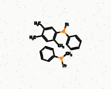 CC(C)P(C)c1ccccc1.CCP(c1ccccc1)c1cc(C)c(C)cc1C